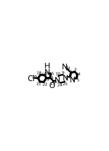 N#Cc1cccnc1N1CCN(C(=O)c2c[nH]c3cc(Cl)ccc23)CC1